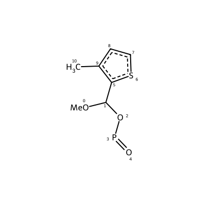 COC(OP=O)c1sccc1C